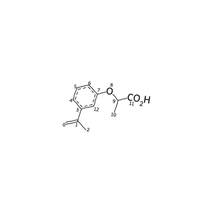 C=C(C)c1cccc(OC(C)C(=O)O)c1